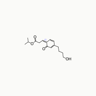 CC(C)OC(=O)C/C=C1/C=CC(CCCCO)=CC1=O